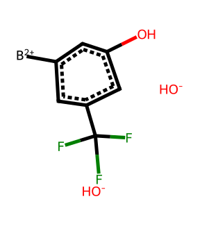 [B+2]c1cc(O)cc(C(F)(F)F)c1.[OH-].[OH-]